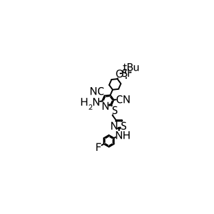 CC(C)(C)[Si](C)(C)OC1CCC(c2c(C#N)c(N)nc(SCc3csc(Nc4ccc(F)cc4)n3)c2C#N)CC1